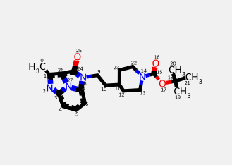 Cc1nc2cccc3n(CCC4CCN(C(=O)OC(C)(C)C)CC4)c(=O)c1n23